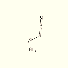 N[SiH2]N=C=O